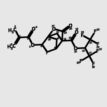 C=C(C)C(=O)OC1CC2CC13CC2(C(=O)OC(C(F)(F)F)C(F)(F)F)C(=O)O3